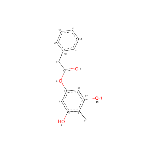 Cc1c(O)cc(OC(=O)Cc2ccccc2)cc1O